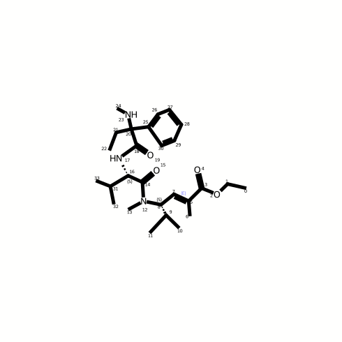 CCOC(=O)/C(C)=C/[C@H](C(C)C)N(C)C(=O)[C@@H](NC(=O)C(CC)(NC)c1ccccc1)C(C)C